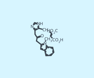 Cc1[nH]cnc1CC(=O)Cc1cc2ccccc2n1C.O=C(O)C=CC(=O)O